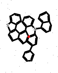 c1ccc(-c2ccc(N(c3ccccc3-c3cccc4ccc5sc6ccccc6c5c34)c3cccc4ccccc34)cc2)cc1